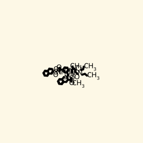 CCCCN(CCCC)C(=O)c1nn(-c2ccc(C(=O)NS(=O)(=O)c3ccc4ccccc4c3)cc2C(=O)N2Cc3ccccc3CC2C(=O)OC)c(C)c1Cl